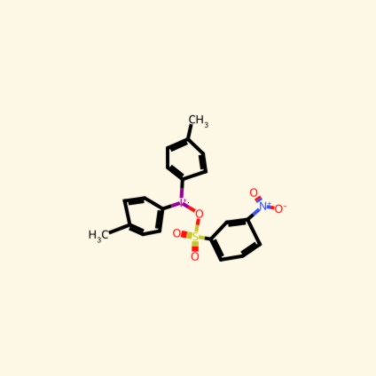 Cc1ccc([I+](OS(=O)(=O)c2cccc([N+](=O)[O-])c2)c2ccc(C)cc2)cc1